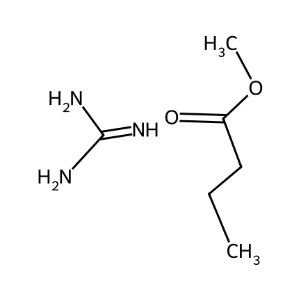 CCCC(=O)OC.N=C(N)N